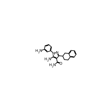 NC(=O)c1c(C2CCc3ccccc3C2)nn(-c2cccc(N)c2)c1N